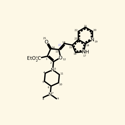 CCOC(=O)C1=C(N2CCC(N(C)C)CC2)O/C(=C\c2c[nH]c3ncccc23)C1=O